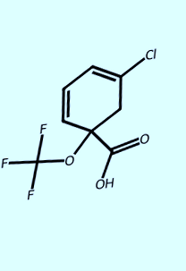 O=C(O)C1(OC(F)(F)F)C=CC=C(Cl)C1